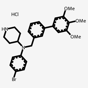 COc1cc(-c2cccc(CN(c3ccc(Br)cc3)C3CCNCC3)c2)cc(OC)c1OC.Cl